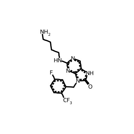 NCCCCNc1ncc2[nH]c(=O)n(Cc3cc(F)ccc3C(F)(F)F)c2n1